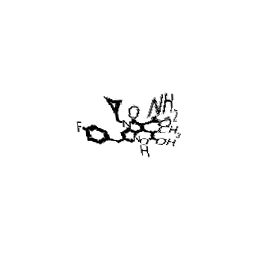 CC(c1c(C(N)=O)c(=O)n(CC2CC2)c2cc(Cc3ccc(F)cc3)cnc12)C(O)O